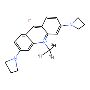 [2H]C([2H])([2H])[n+]1c2cc(N3CCC3)ccc2cc2ccc(N3CCC3)cc21.[I-]